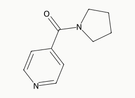 O=C(c1ccncc1)N1CCCC1